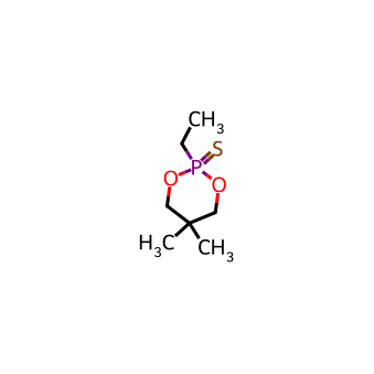 CCP1(=S)OCC(C)(C)CO1